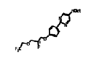 CCCCCCCCc1cnc(-c2ccc(OC[C@@H](F)COCC(F)(F)F)cc2)nc1